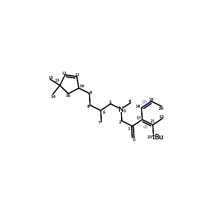 C=C(CN(C)CC(C)CCC1C=CC(C)(C)C1)C(/C=C\C)=C(/C)C(C)(C)C